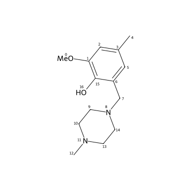 COc1cc(C)cc(CN2CCN(C)CC2)c1O